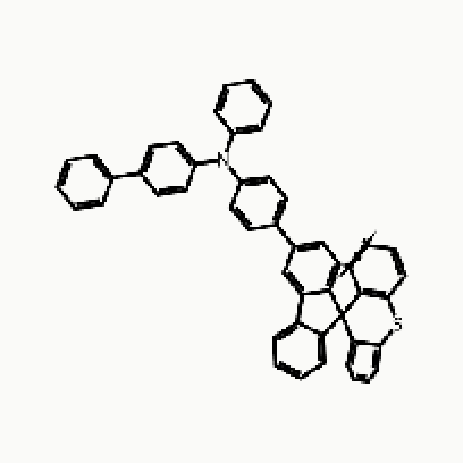 c1ccc(-c2ccc(N(c3ccccc3)c3ccc(-c4ccc5c(c4)-c4ccccc4C54c5ccccc5Sc5ccc6ccccc6c54)cc3)cc2)cc1